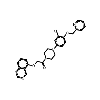 O=C(COc1cccc2ncncc12)N1CCN(c2ccc(OCc3ccccn3)c(Cl)c2)CC1